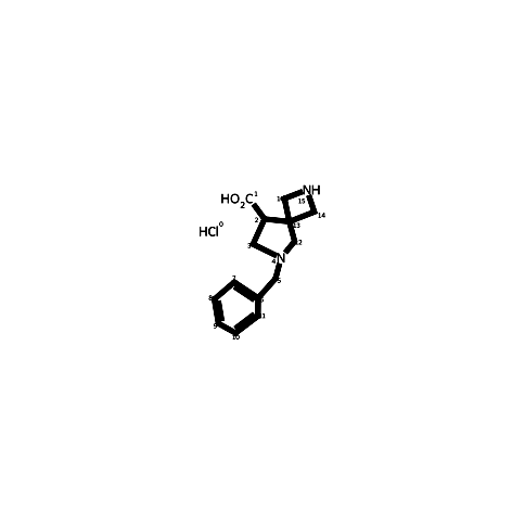 Cl.O=C(O)C1CN(Cc2ccccc2)CC12CNC2